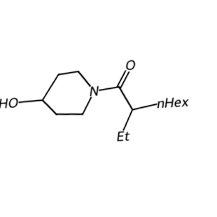 CCCCCCC(CC)C(=O)N1CCC(O)CC1